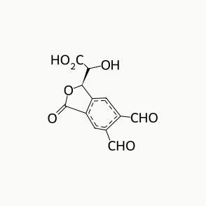 O=Cc1cc2c(cc1C=O)[C@H](C(O)C(=O)O)OC2=O